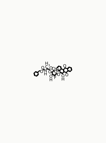 C[C@H](NC(=O)OCc1ccccc1)C(=O)O[C@H]1[C@@H](O)[C@@H](F)[C@H](Oc2c(O)c3c(c4cccnc24)C(=O)c2ccccc2C3=O)O[C@H]1C